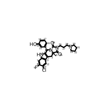 C[C@@]12Cc3c([nH]c4cc(F)c(Cl)cc34)[C@@H](c3cccc(O)c3)N1C(=O)N(CCCN1CCCC1)C2=O